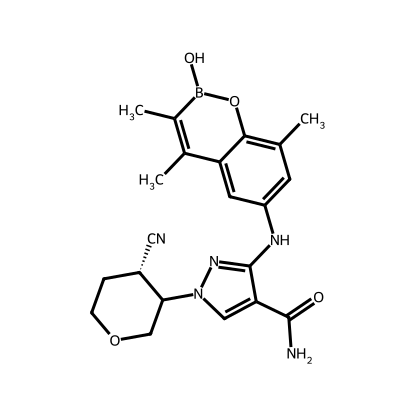 CC1=C(C)c2cc(Nc3nn(C4COCC[C@@H]4C#N)cc3C(N)=O)cc(C)c2OB1O